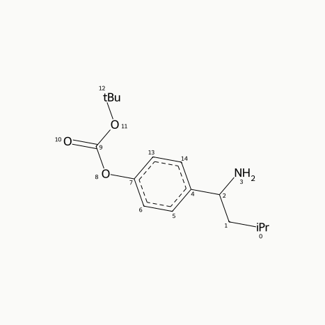 CC(C)CC(N)c1ccc(OC(=O)OC(C)(C)C)cc1